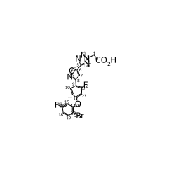 O=C(O)Cn1nnc(-c2cc(-c3ccc(Oc4cc(F)ccc4Br)cc3F)no2)n1